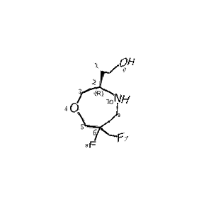 OC[C@@H]1COCC(F)(F)CN1